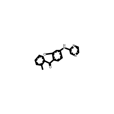 Cc1ccccc1C(=O)c1ccc(Nc2cnccn2)cc1Cl